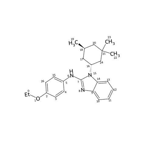 CCOc1ccc(Nc2nc3ccccc3n2[C@@H]2C[C@@H](C)CC(C)(C)C2)cc1